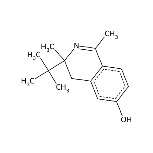 CC1=NC(C)(C(C)(C)C)Cc2cc(O)ccc21